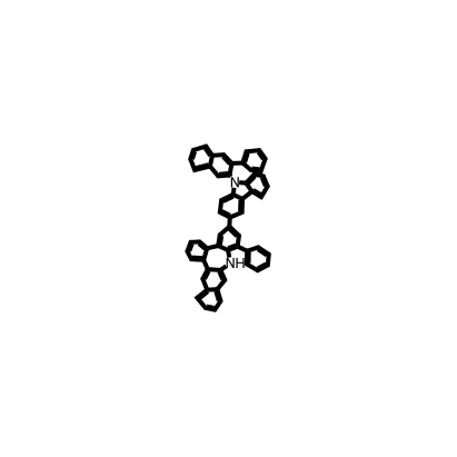 c1ccc(-c2cc3ccccc3cc2-n2c3ccccc3c3cc(-c4cc(-c5ccccc5)c5c(c4)-c4ccccc4-c4cc6ccccc6cc4N5)ccc32)cc1